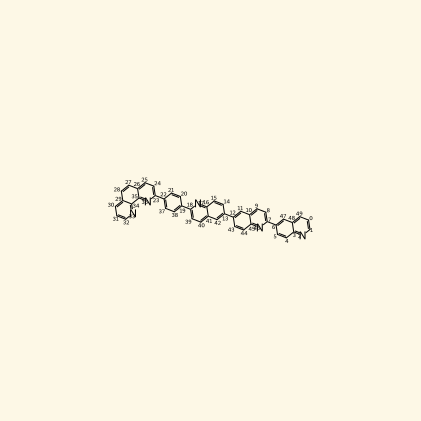 c1cnc2ccc(-c3ccc4cc(-c5ccc6nc(-c7ccc(-c8ccc9ccc%10cccnc%10c9n8)cc7)ccc6c5)ccc4n3)cc2c1